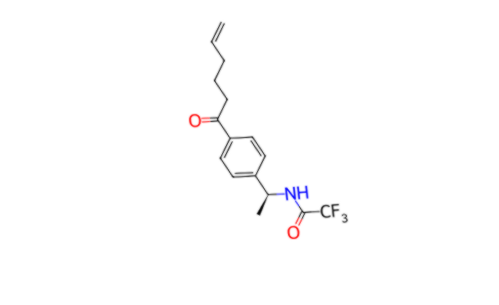 C=CCCCC(=O)c1ccc([C@H](C)NC(=O)C(F)(F)F)cc1